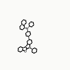 c1ccc(N(c2ccc(-c3ccc4c(c3)c3c5ccccc5oc3n4-c3ccccc3)cc2)c2cccc3ccccc23)cc1